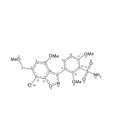 COCc1cc(OC)c2c(-c3ccc(OC)c(S(N)(=O)=O)c3OC)noc2c1Cl